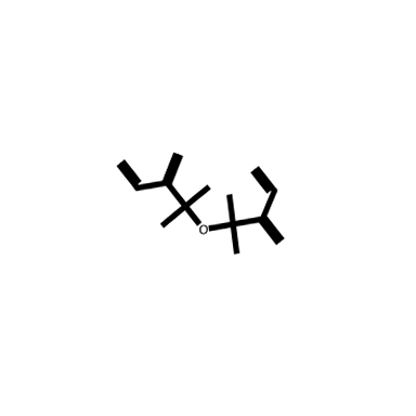 C=CC(=C)C(C)(C)OC(C)(C)C(=C)C=C